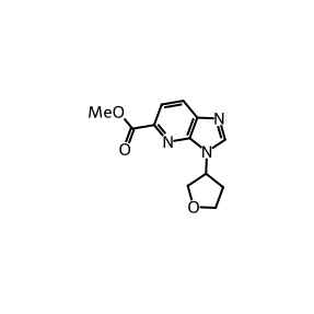 COC(=O)c1ccc2ncn(C3CCOC3)c2n1